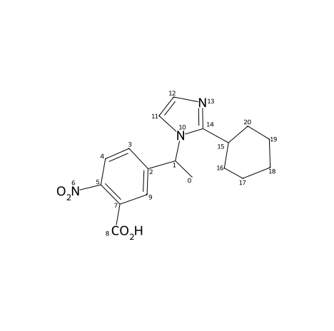 CC(c1ccc([N+](=O)[O-])c(C(=O)O)c1)n1ccnc1C1CCCCC1